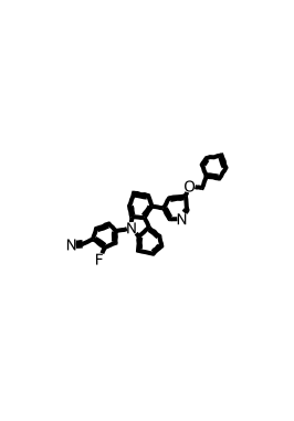 N#Cc1ccc(-n2c3ccccc3c3c(-c4cncc(OCc5ccccc5)c4)cccc32)cc1F